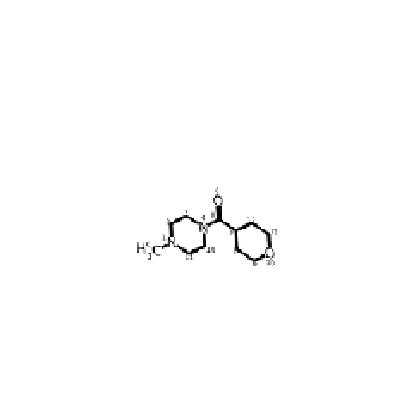 CN1CCN(C(=O)C2CCOCC2)CC1